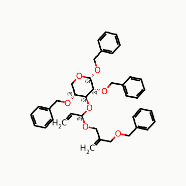 C=C[C@H](OCC(=C)COCc1ccccc1)O[C@@H]1[C@@H](OCc2ccccc2)[C@@H](OCc2ccccc2)OC[C@H]1OCc1ccccc1